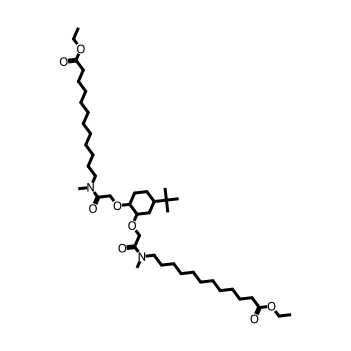 CCOC(=O)CCCCCCCCCCCN(C)C(=O)COC1CCC(C(C)(C)C)CC1OCC(=O)N(C)CCCCCCCCCCCC(=O)OCC